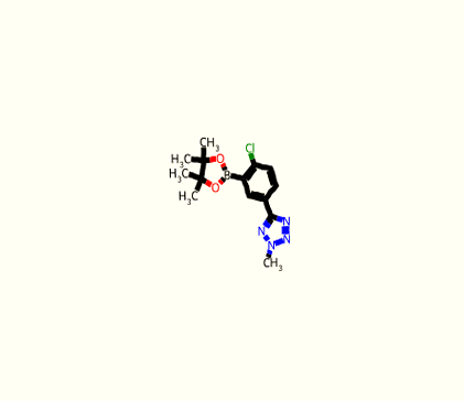 Cn1nnc(-c2ccc(Cl)c(B3OC(C)(C)C(C)(C)O3)c2)n1